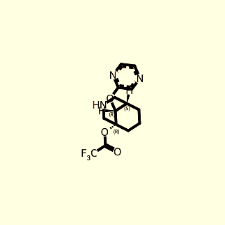 O=C(O[C@]12CCC[C@@H](CNC1)[C@H]2Oc1cnccn1)C(F)(F)F